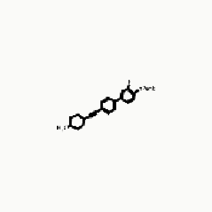 CCCCCc1ccc(-c2ccc(C#CC3CCC(C)CC3)cc2)cc1F